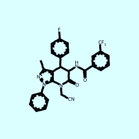 Cc1nn(-c2ccccc2)c2c1C(c1ccc(F)cc1)C(NC(=O)c1cccc(C(F)(F)F)c1)C(=O)N2CC#N